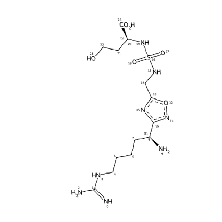 N=C(N)NCCCC[C@H](N)c1noc(CNS(=O)(=O)N[C@@H](CCO)C(=O)O)n1